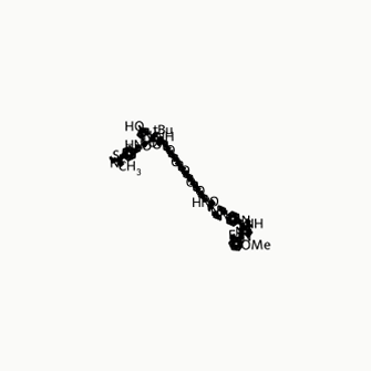 COc1cccc(F)c1-c1ncc2[nH]nc(-c3ccc(N4CCN(CC(=O)NCCOCCOCCOCCOCCOCCC(=O)N[C@H](C(=O)N5C[C@H](O)C[C@H]5C(=O)NCc5ccc(-c6scnc6C)cc5)C(C)(C)C)CC4)cc3)c2n1